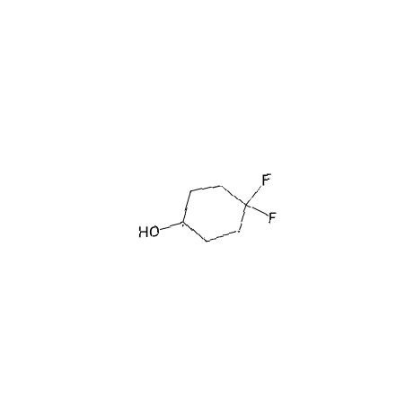 O[C]1CCC(F)(F)CC1